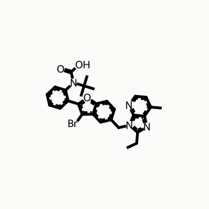 CCc1nc2c(C)ccnc2n1Cc1ccc2oc(-c3ccccc3N(C(=O)O)C(C)(C)C)c(Br)c2c1